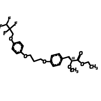 CCOC(=O)[C@H](Cc1ccc(OCCCOc2ccc(OCC(F)(F)C(F)F)cc2)cc1)OC